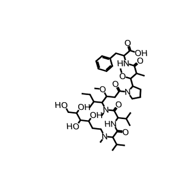 CCC(C)C(C(CC(=O)N1CCCC1C(OC)C(C)C(=O)NC(Cc1ccccc1)C(=O)O)OC)N(C)C(=O)C(NC(=O)C(C(C)C)N(C)CCC(O)C(O)C(O)CO)C(C)C